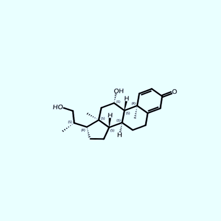 C[C@H](CO)[C@H]1CC[C@H]2[C@@H]3CCC4=CC(=O)C=C[C@]4(C)[C@H]3[C@@H](O)C[C@]12C